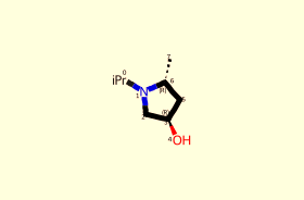 CC(C)N1C[C@H](O)C[C@H]1C